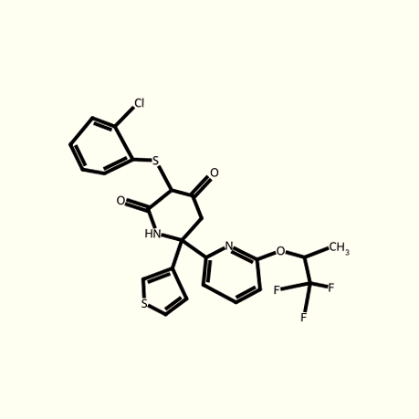 CC(Oc1cccc(C2(c3ccsc3)CC(=O)C(Sc3ccccc3Cl)C(=O)N2)n1)C(F)(F)F